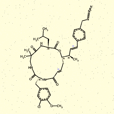 COc1ccc(C[C@H]2NC(=O)/C=C/C[C@@H]([C@H](C)/C=C/c3ccc(CN=[N+]=[N-])cc3)OC(=O)[C@H](CC(C)C)NC(=O)C(C)(C)CNC2=O)cc1Cl